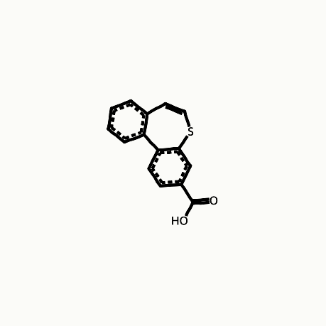 O=C(O)c1ccc2c(c1)SC=Cc1ccccc1-2